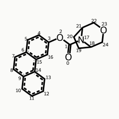 O=C(Oc1ccc2ccc3ccccc3c2c1)N1C2CCC1COC2